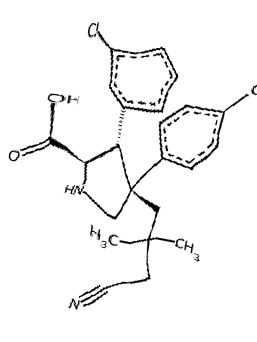 CC(C)(CC#N)C[C@@]1(c2ccc(Cl)cc2)CN[C@@H](C(=O)O)[C@@H]1c1cccc(Cl)c1